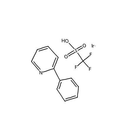 O=S(=O)(O)C(F)(F)F.[Ir].c1ccc(-c2ccccn2)cc1